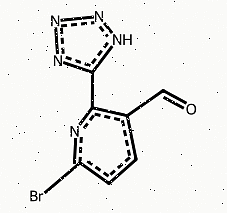 O=Cc1ccc(Br)nc1-c1nnn[nH]1